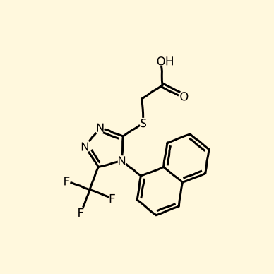 O=C(O)CSc1nnc(C(F)(F)F)n1-c1cccc2ccccc12